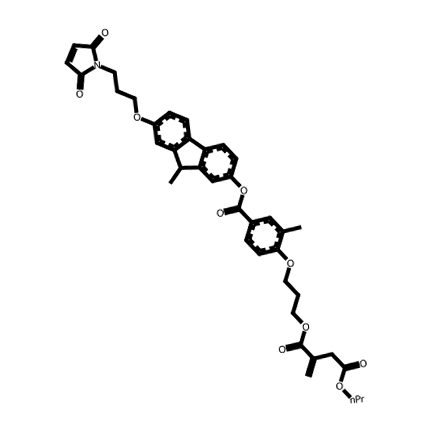 C=C(CC(=O)OCCC)C(=O)OCCCOc1ccc(C(=O)Oc2ccc3c(c2)C(C)c2cc(OCCCN4C(=O)C=CC4=O)ccc2-3)cc1C